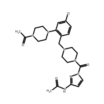 CC(=O)Nc1ccn(C(=O)N2CCN(Cc3ccc(Cl)cc3N3CCN(C(C)=O)CC3)CC2)n1